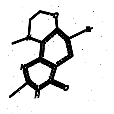 Cc1nc2c3c(c(Br)cc2c(=O)[nH]1)OCCN3C